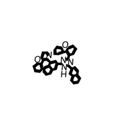 c1ccc2cc(C3=NC(c4cccc5oc6ccccc6c45)=NC(c4cc(-c5nccc6oc7ccccc7c56)c5ccccc5c4)N3)ccc2c1